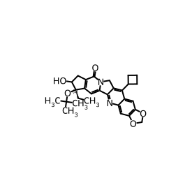 CC[C@]1(OC(C)(C)C)c2cc3n(c(=O)c2CC1O)Cc1c-3nc2cc3c(cc2c1C1CCC1)OCO3